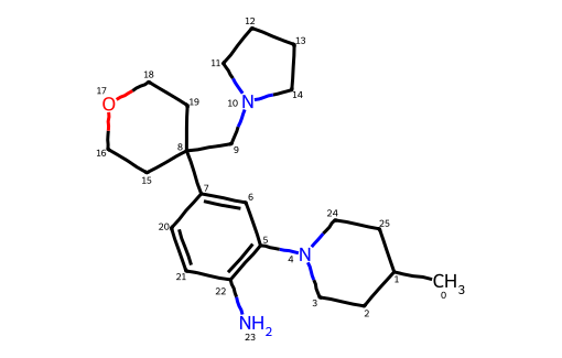 CC1CCN(c2cc(C3(CN4CCCC4)CCOCC3)ccc2N)CC1